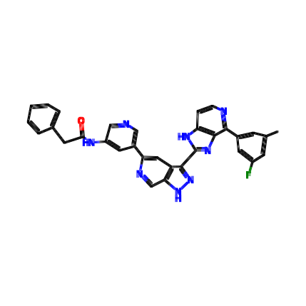 Cc1cc(F)cc(-c2nccc3[nH]c(-c4n[nH]c5cnc(-c6cncc(NC(=O)Cc7ccccc7)c6)cc45)nc23)c1